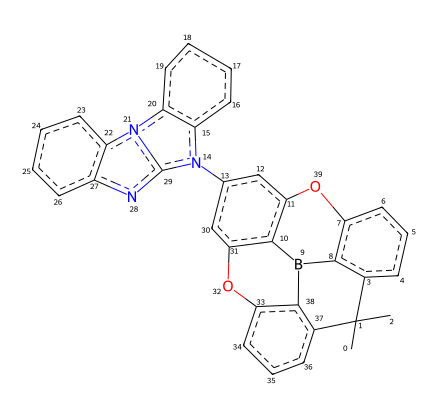 CC1(C)c2cccc3c2B2c4c(cc(-n5c6ccccc6n6c7ccccc7nc56)cc4Oc4cccc1c42)O3